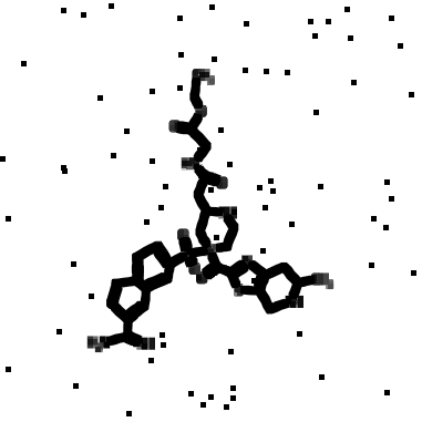 CCOC(=O)CNC(=O)CC1C[N+](C(=O)c2nc3c(s2)CNC(C)C3)(S(=O)(=O)c2ccc3ccc(C(=N)N)cc3c2)CCN1